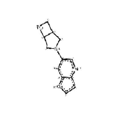 c1cc2ncc(N3CC4CNC4C3)cc2o1